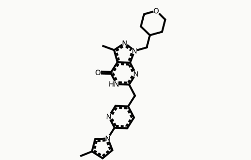 Cc1ccn(-c2ccc(Cc3nc4c(c(C)nn4CC4CCOCC4)c(=O)[nH]3)cn2)c1